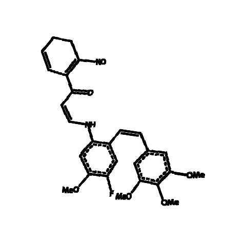 COc1cc(N/C=C\C(=O)C2=C(N=O)CCC=C2)c(/C=C\c2cc(OC)c(OC)c(OC)c2)cc1F